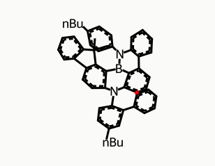 CCCCc1ccc(N2B3c4c(cccc4N(c4ccc(CCCC)cc4-c4ccccc4)c4ccc5c(c43)C(C)(C)c3ccccc3-5)-c3ccccc32)cc1